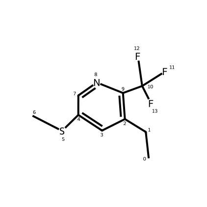 CCc1cc(SC)cnc1C(F)(F)F